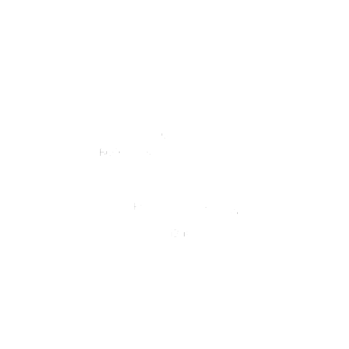 CC(C)COC(=O)C(C(C)C)C(C(=O)OCC(C)C)C1CCCCC1